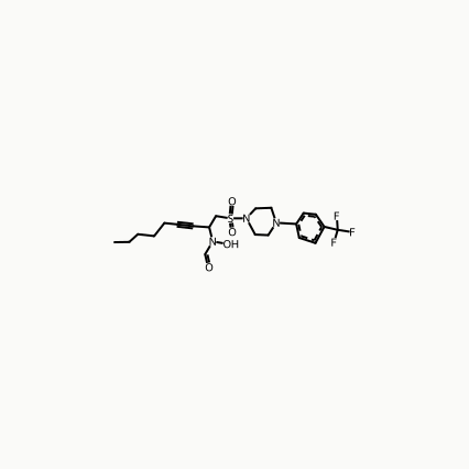 CCCCCC#CC(CS(=O)(=O)N1CCN(c2ccc(C(F)(F)F)cc2)CC1)N(O)C=O